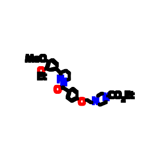 CCOC(=O)N1CCN(CCOc2ccc(C(=O)N3CCCC(c4ccc(OC)c(OCC)c4)=N3)cc2)CC1